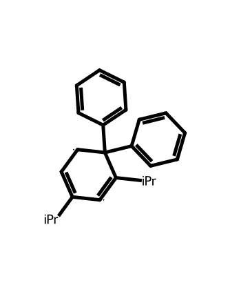 CC(C)C1=[C]C(C(C)C)=C[CH]C1(c1ccccc1)c1ccccc1